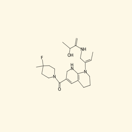 C=C(NC/C(=C\C)N1CCCC2=C1NCC(C(=O)N1CCC(C)(F)CC1)=C2)C(C)O